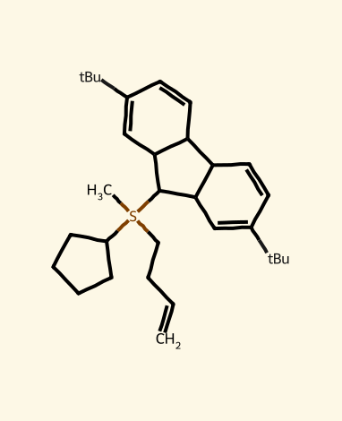 C=CCCS(C)(C1CCCC1)C1C2C=C(C(C)(C)C)C=CC2C2C=CC(C(C)(C)C)=CC21